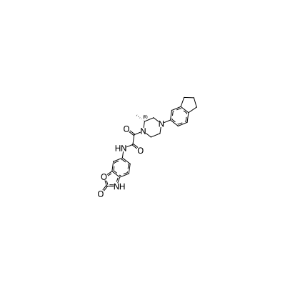 C[C@@H]1CN(c2ccc3c(c2)CCC3)CCN1C(=O)C(=O)Nc1ccc2[nH]c(=O)oc2c1